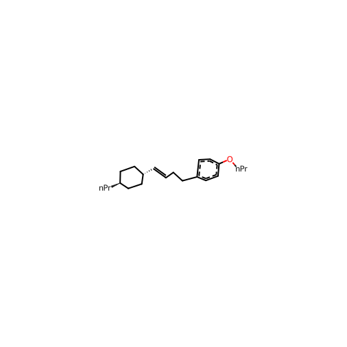 CCCOc1ccc(CCC=C[C@H]2CC[C@H](CCC)CC2)cc1